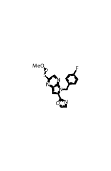 COOSc1cnc2c(cc(-c3ncco3)n2Cc2ccc(F)cc2)n1